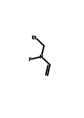 C=CN(F)CCC